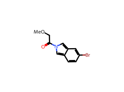 COCC(=O)n1cc2ccc(Br)cc2c1